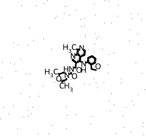 Cc1nccc2c(Nc3cccc4c3CCO4)c(C(=O)NC(=O)N3CC(C)O[C@H](C)C3)cnc12